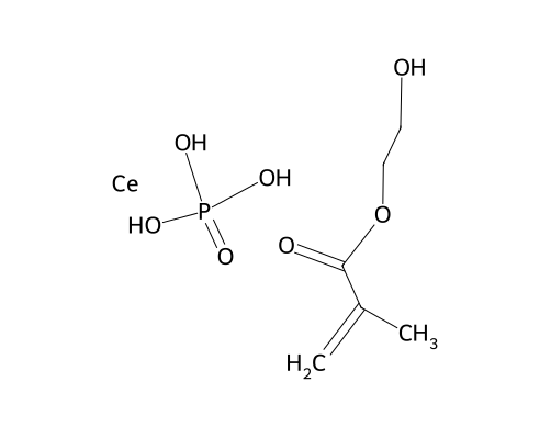 C=C(C)C(=O)OCCO.O=P(O)(O)O.[Ce]